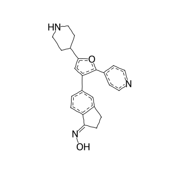 O/N=C1\CCc2cc(-c3cc(C4CCNCC4)oc3-c3ccncc3)ccc21